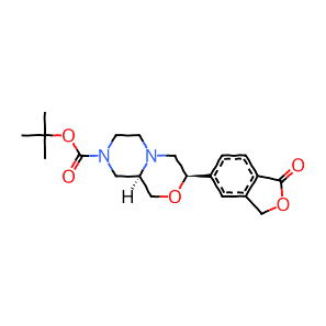 CC(C)(C)OC(=O)N1CCN2C[C@@H](c3ccc4c(c3)COC4=O)OC[C@H]2C1